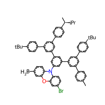 Bc1ccc2c(c1)Oc1cc(Br)ccc1N2c1cc(-c2cc(-c3ccc(C)cc3)cc(-c3ccc(C(C)(C)C)cc3)c2)cc(-c2cc(-c3ccc([C@@H](C)C(C)C)cc3)cc(-c3ccc(C(C)(C)C)cc3)c2)c1